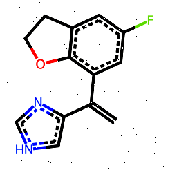 C=C(c1c[nH]cn1)c1cc(F)cc2c1OCC2